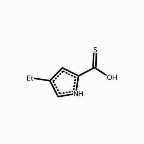 CCc1c[nH]c(C(O)=S)c1